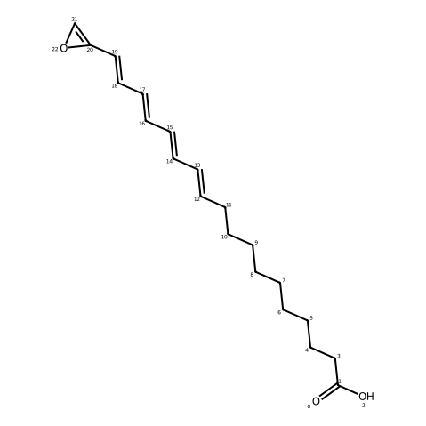 O=C(O)CCCCCCCCCC=CC=CC=CC=CC1=CO1